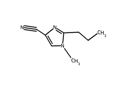 CCCc1nc(C#N)cn1C